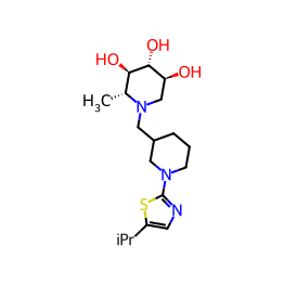 CC(C)c1cnc(N2CCCC(CN3C[C@H](O)[C@@H](O)[C@H](O)[C@H]3C)C2)s1